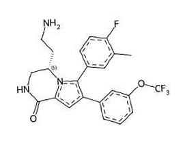 Cc1cc(-c2c(-c3cccc(OC(F)(F)F)c3)cc3n2[C@@H](CCN)CNC3=O)ccc1F